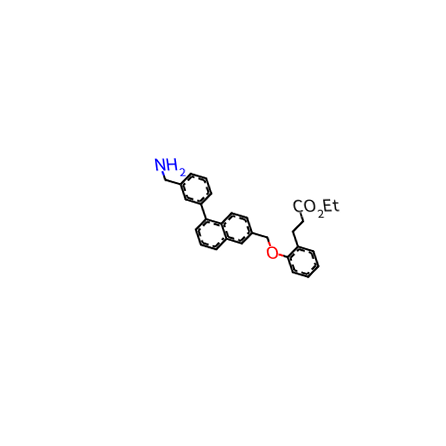 CCOC(=O)CCc1ccccc1OCc1ccc2c(-c3cccc(CN)c3)cccc2c1